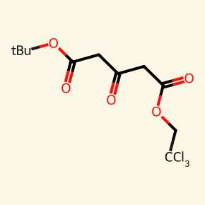 CC(C)(C)OC(=O)CC(=O)CC(=O)OCC(Cl)(Cl)Cl